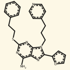 Nc1nc(SCCc2ccccc2)nc2c1nc(-c1ccco1)n2CCCc1ccncc1